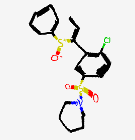 CC=C(c1cc(S(=O)(=O)N2CCCCC2)ccc1Cl)[S+]([O-])c1ccccc1